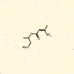 COCC(C)OC(=O)/C=C(/C)N